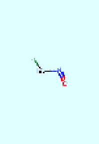 O=NBCl